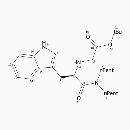 CCCCCN(CCCCC)C(=O)[C@@H](Cc1c[nH]c2ccccc12)NCC(=O)OC(C)(C)C